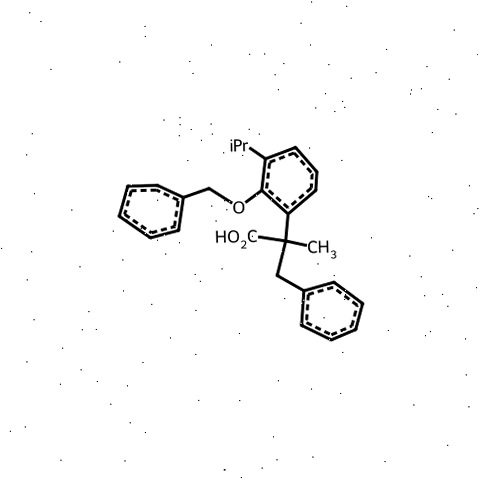 CC(C)c1cccc(C(C)(Cc2ccccc2)C(=O)O)c1OCc1ccccc1